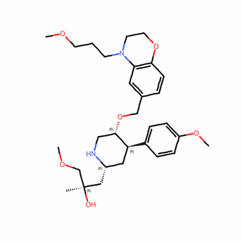 COCCCN1CCOc2ccc(CO[C@H]3CN[C@@H](C[C@@](C)(O)COC)C[C@@H]3c3ccc(OC)cc3)cc21